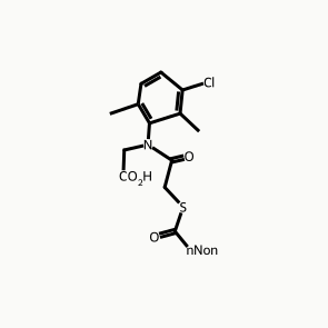 CCCCCCCCCC(=O)SCC(=O)N(CC(=O)O)c1c(C)ccc(Cl)c1C